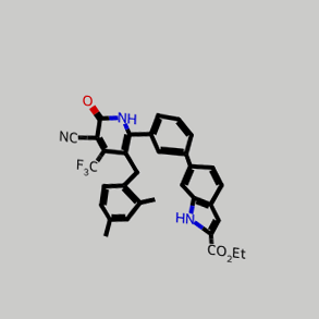 CCOC(=O)c1cc2ccc(-c3cccc(-c4[nH]c(=O)c(C#N)c(C(F)(F)F)c4Cc4ccc(C)cc4C)c3)cc2[nH]1